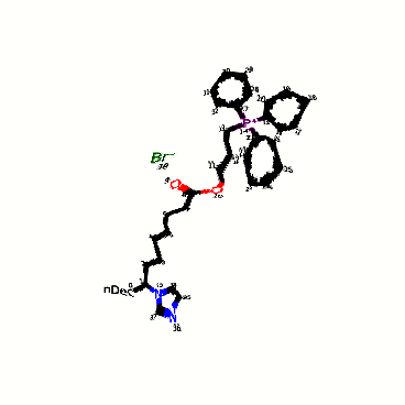 CCCCCCCCCCC(CCCCCCC(=O)OCCC[P+](c1ccccc1)(c1ccccc1)c1ccccc1)n1ccnc1.[Br-]